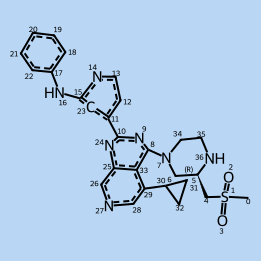 CS(=O)(=O)C[C@H]1CN(c2nc(-c3ccnc(Nc4ccccc4)c3)nc3cncc(C4CC4)c23)CCN1